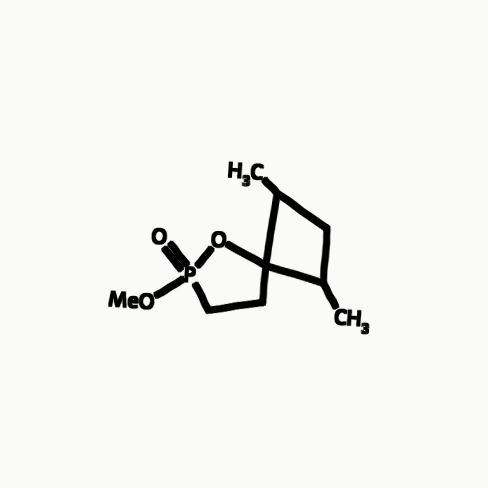 COP1(=O)CCC2(O1)C(C)CC2C